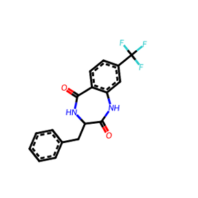 O=C1NC(Cc2ccccc2)C(=O)Nc2cc(C(F)(F)F)ccc21